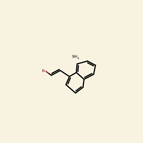 BrC=Cc1cccc2ccccc12.[SiH4]